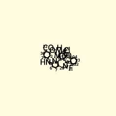 COc1cc(Nc2ccc3c(n2)-c2ccc(Cl)cc2C(c2c(F)cccc2OC)=NC3)ccc1C(=O)O